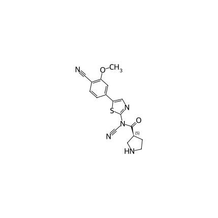 COc1cc(-c2cnc(N(C#N)C(=O)[C@H]3CCNC3)s2)ccc1C#N